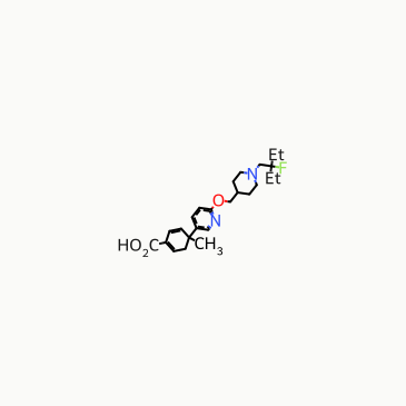 CCC(F)(CC)CN1CCC(COc2ccc(C3(C)C=CC(C(=O)O)=CC3)cn2)CC1